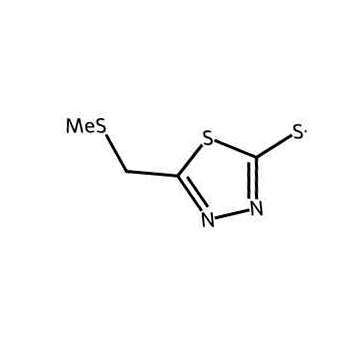 CSCc1nnc([S])s1